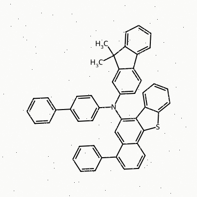 CC1(C)c2ccccc2-c2ccc(N(c3ccc(-c4ccccc4)cc3)c3cc4c(-c5ccccc5)cccc4c4sc5ccccc5c34)cc21